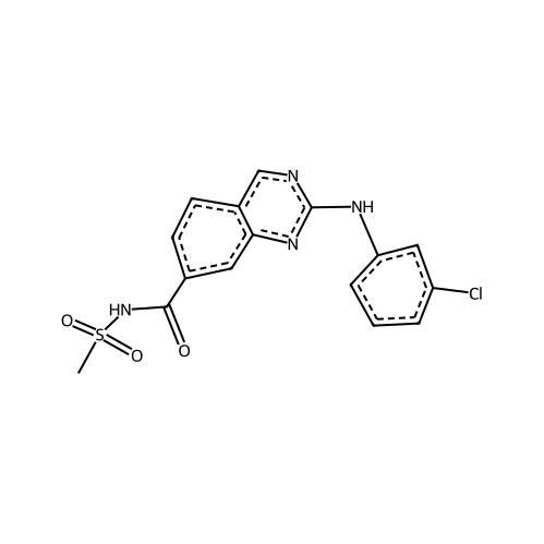 CS(=O)(=O)NC(=O)c1ccc2cnc(Nc3cccc(Cl)c3)nc2c1